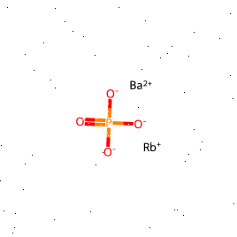 O=P([O-])([O-])[O-].[Ba+2].[Rb+]